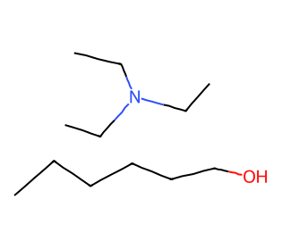 CCCCCCO.CCN(CC)CC